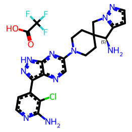 Nc1nccc(-c2n[nH]c3nc(N4CCC5(CC4)Cn4nccc4[C@H]5N)cnc23)c1Cl.O=C(O)C(F)(F)F